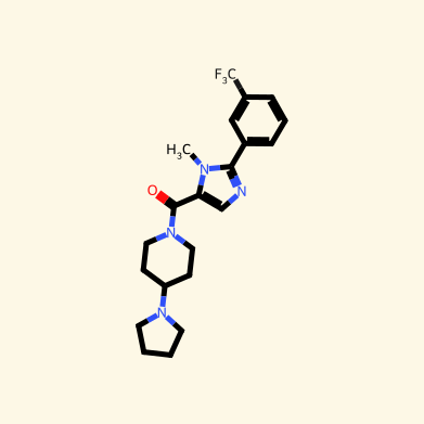 Cn1c(C(=O)N2CCC(N3CCCC3)CC2)cnc1-c1cccc(C(F)(F)F)c1